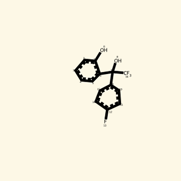 Oc1ccccc1C(O)(c1ccc(F)cc1)C(F)(F)F